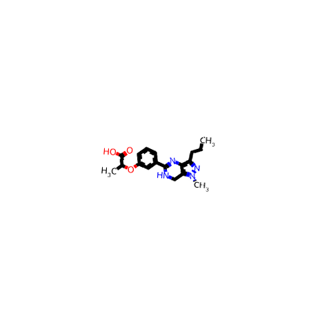 CCCc1nn(C)c2c1N=C(c1cccc(OC(C)C(=O)O)c1)NC2